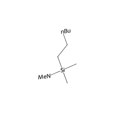 CCCCCC[Si](C)(C)NC